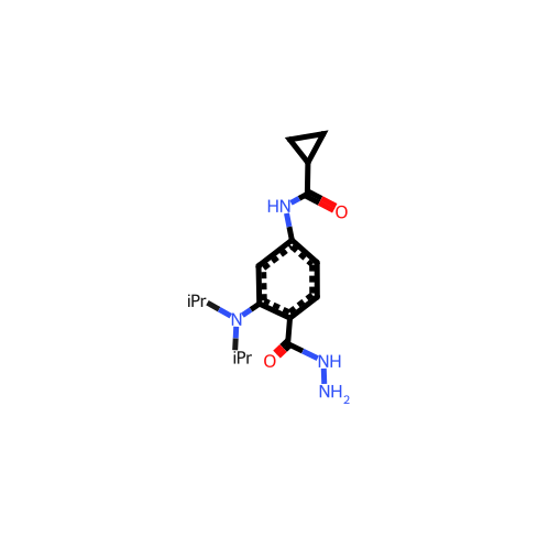 CC(C)N(c1cc(NC(=O)C2CC2)ccc1C(=O)NN)C(C)C